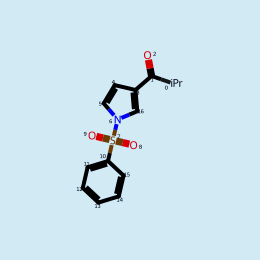 CC(C)C(=O)c1ccn(S(=O)(=O)c2ccccc2)c1